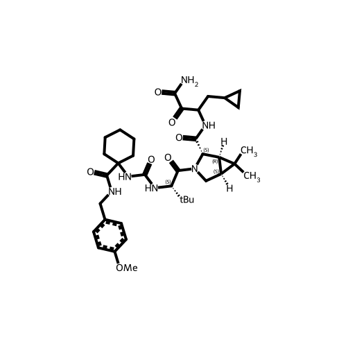 COc1ccc(CNC(=O)C2(NC(=O)N[C@H](C(=O)N3C[C@H]4[C@@H]([C@H]3C(=O)NC(CC3CC3)C(=O)C(N)=O)C4(C)C)C(C)(C)C)CCCCC2)cc1